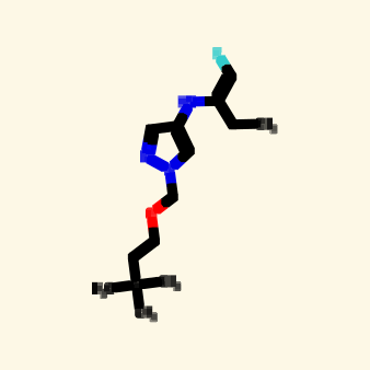 CC/C(=C/F)Nc1cnn(COCC[Si](C)(C)C)c1